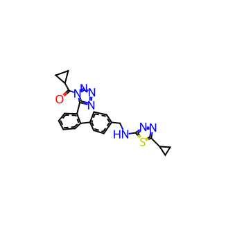 O=C(C1CC1)n1nnnc1-c1ccccc1-c1ccc(CNc2nnc(C3CC3)s2)cc1